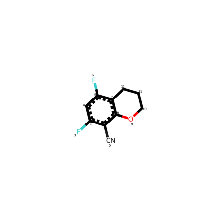 N#Cc1c(F)cc(F)c2c1OCCC2